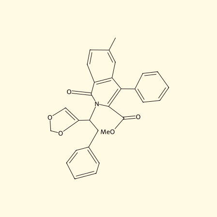 COC(=O)c1c(-c2ccccc2)c2cc(C)ccc2c(=O)n1C(Cc1ccccc1)C1=COCO1